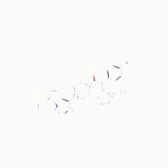 C[C@@H]1C[C@@](C)(O)c2ncnc(N3CCN(C(=O)C(c4ccc(C(F)(F)F)cc4)C4CCCN4C)CC3)c21